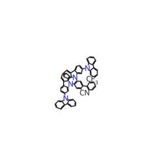 N#Cc1cc(-n2c3ccccc3c3ccc(-n4c5ccccc5c5ccccc54)cc32)c(-n2c3ccccc3c3ccc(-n4c5ccccc5c5ccccc54)cc32)cc1-c1ccccc1C(F)(F)F